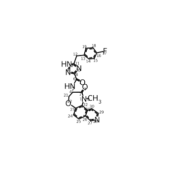 CN1C(=O)[C@@H](NC(=O)c2n[nH]c(Cc3ccc(F)cc3)n2)COc2ccc3cnccc3c21